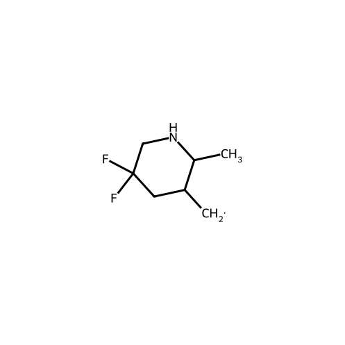 [CH2]C1CC(F)(F)CNC1C